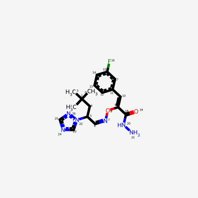 CC(C)(C)CC(/C=N\OC(=Cc1cccc(F)c1)C(=O)NN)n1cncn1